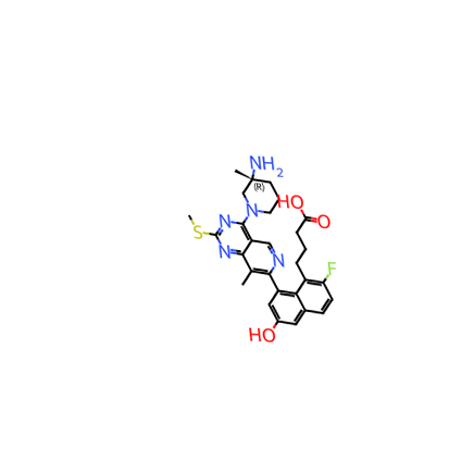 CSc1nc(N2CCC[C@@](C)(N)C2)c2cnc(-c3cc(O)cc4ccc(F)c(CCCC(=O)O)c34)c(C)c2n1